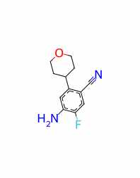 N#Cc1cc(F)c(N)cc1C1CCOCC1